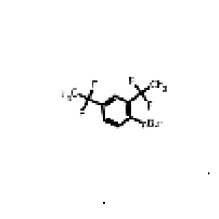 CCC[CH]c1ccc(C(F)(F)C(F)(F)F)cc1C(F)(F)C(F)(F)F